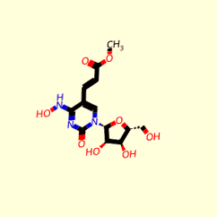 COC(=O)/C=C/c1cn([C@@H]2O[C@H](CO)[C@@H](O)[C@H]2O)c(=O)nc1NO